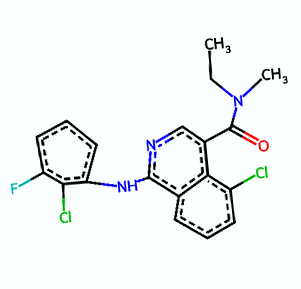 CCN(C)C(=O)c1cnc(Nc2cccc(F)c2Cl)c2cccc(Cl)c12